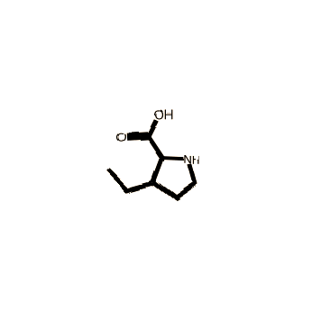 CCC1CCNC1C(=O)O